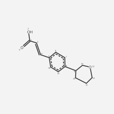 O=C(O)/C=C/c1ccc(C2CCCOC2)cc1